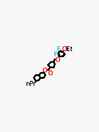 CCCC1CCC2CC(OC(=O)C3CCC(COc4ccc(OCC)c(F)c4F)CC3)CCC2C1